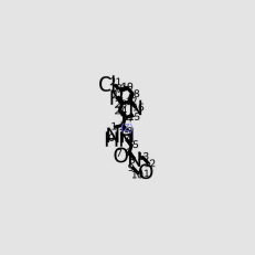 N=C/C(=C\NCC(=O)N1CCOCC1)c1cnc2ccc(Cl)nc2c1